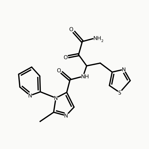 Cc1ncc(C(=O)NC(Cc2cscn2)C(=O)C(N)=O)n1-c1ccccn1